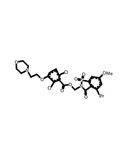 COc1cc(C(C)C)c2c(c1)S(=O)(=O)N(COC(=O)c1c(Cl)ccc(OCCN3CCOCC3)c1Cl)C2=O